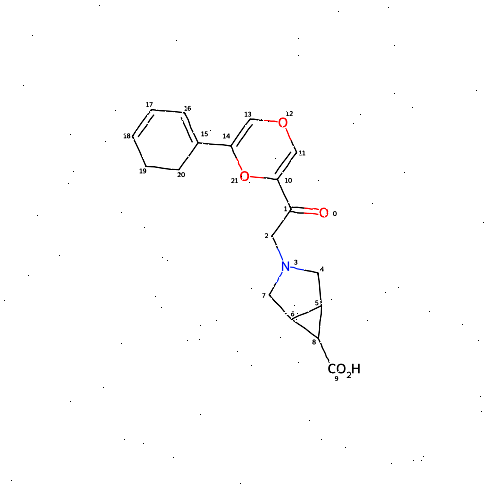 O=C(CN1CC2C(C1)C2C(=O)O)C1=COC=C(C2=CC=CCC2)O1